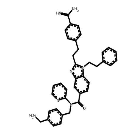 N=C(N)c1ccc(CCc2nc3cc(C(=O)N(Cc4ccc(CN)cc4)c4ccccn4)ccc3n2CCc2ccccc2)cc1